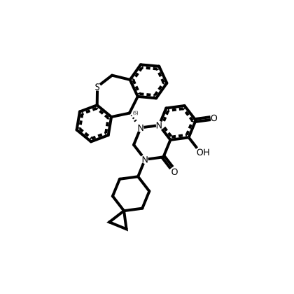 O=C1c2c(O)c(=O)ccn2N([C@H]2c3ccccc3CSc3ccccc32)CN1C1CCC2(CC1)CC2